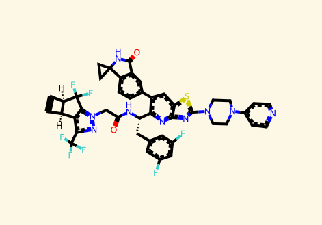 O=C(Cn1nc(C(F)(F)F)c2c1C(F)(F)[C@@H]1C#C[C@H]21)N[C@@H](Cc1cc(F)cc(F)c1)c1nc2nc(N3CCN(c4ccncc4)CC3)sc2cc1-c1ccc2c(c1)C(=O)NC21CC1